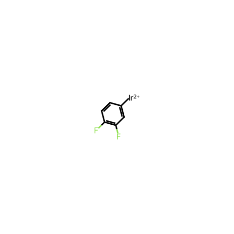 Fc1cc[c]([Ir+2])cc1F